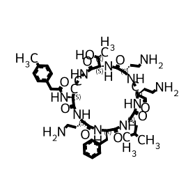 Cc1ccc(CC(=O)N[C@H]2CCNC(=O)[C@H]([C@@H](C)O)NC(=O)[C@H](CCN)NC[C@@](C=O)(CCN)NC(=O)[C@H](CC(C)C)NC(=O)[C@@H](Cc3ccccc3)NC(=O)[C@H](CCN)NC2=O)cc1